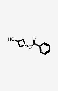 O=C(ON1CC(O)C1)c1ccccc1